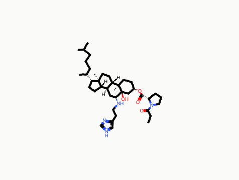 CCC(=O)N1CCC[C@H]1C(=O)O[C@H]1CC[C@]2(C)[C@H]3CC[C@]4(C)[C@@H](C(C)CCCC(C)C)CC[C@H]4[C@@H]3C[C@@H](NCCc3c[nH]cn3)[C@@]2(O)C1